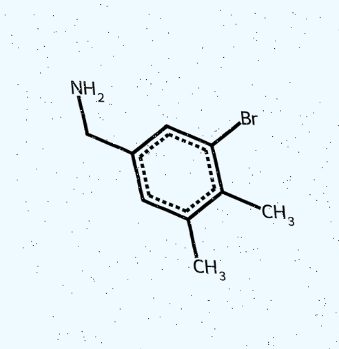 Cc1cc(CN)cc(Br)c1C